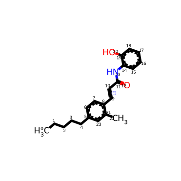 CCCCCc1ccc(/C=C/C(=O)Nc2ccccc2O)c(C)c1